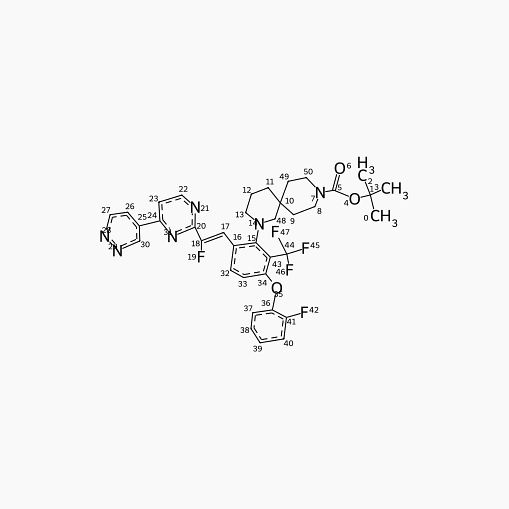 CC(C)(C)OC(=O)N1CCC2(CCCN(c3c(/C=C(\F)c4nccc(-c5ccnnc5)n4)ccc(Oc4ccccc4F)c3C(F)(F)F)C2)CC1